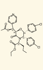 CCC[C@@H](C(=O)OCC)N1C(=O)[C@@H]([C@@H](OC(C)=O)c2ccncc2)O[C@H](c2ccc(Cl)cc2)[C@@H]1c1ccc(Cl)cc1